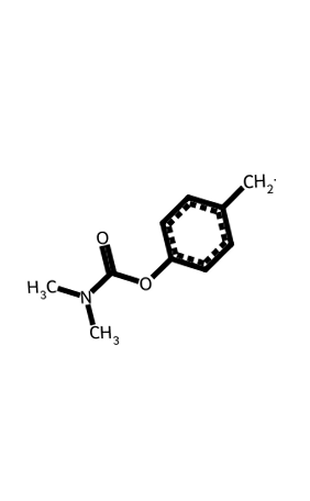 [CH2]c1ccc(OC(=O)N(C)C)cc1